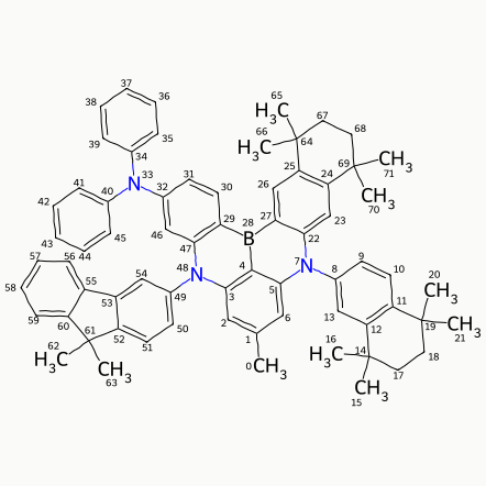 Cc1cc2c3c(c1)N(c1ccc4c(c1)C(C)(C)CCC4(C)C)c1cc4c(cc1B3c1ccc(N(c3ccccc3)c3ccccc3)cc1N2c1ccc2c(c1)-c1ccccc1C2(C)C)C(C)(C)CCC4(C)C